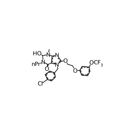 CCCN1C(=O)c2c(nc(OCCOc3cccc(OC(F)(F)F)c3)n2Cc2ccc(Cl)cc2)N(C)C1O